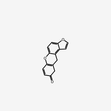 O=C1C=CC2=C(C1)Cc1c(ccc3occc13)O2